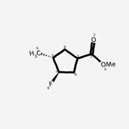 COC(=O)C1C[C@@H](C)[C@H](F)C1